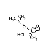 CCN(CC)CCOCCc1cc2occc2cc1OC.Cl